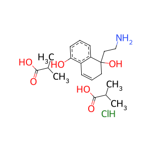 CC(C)C(=O)O.CC(C)C(=O)O.Cl.NCCC1(O)CC=Cc2c(O)cccc21